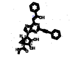 CNC(=O)[C@@]12C[C@@H]1[C@@H](n1cnc3c(/C=C(\O)c4ccccc4)nc(C#Cc4ccccc4)nc31)[C@@H](O)[C@H]2O